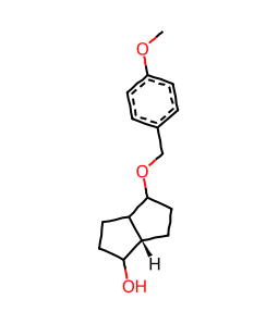 COc1ccc(COC2CC[C@@H]3C(O)CCC23)cc1